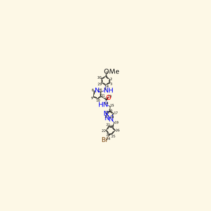 COc1ccc(Nc2ncccc2C(=O)NCc2cn(Cc3ccc(Br)cc3)nn2)cc1